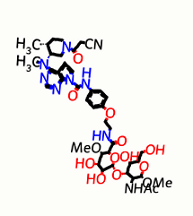 CO[C@@H]1OC(CO)[C@@H](O)[C@H](O[C@@H]2OC(C(=O)NCCOc3ccc(NC(=O)n4ccc5c(N(C)[C@H]6CN(C(=O)CC#N)CC[C@H]6C)ncnc54)cc3)[C@@H](OC)[C@H](O)C2O)C1NC(C)=O